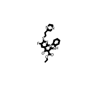 CCOC(=O)c1c(=O)c2cc(F)c(SCCc3cnccn3)nc2n2c1[nH]c1ccccc12